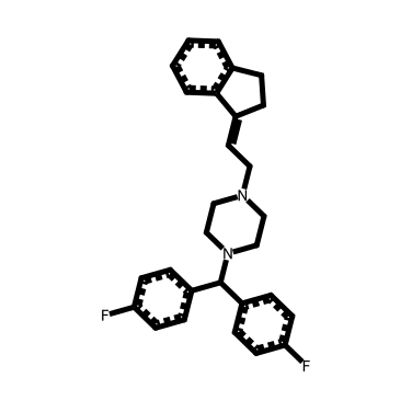 Fc1ccc(C(c2ccc(F)cc2)N2CCN(CC=C3CCc4ccccc43)CC2)cc1